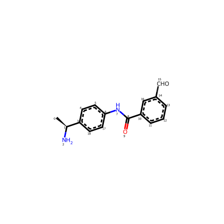 C[C@H](N)c1ccc(NC(=O)c2cccc(C=O)c2)cc1